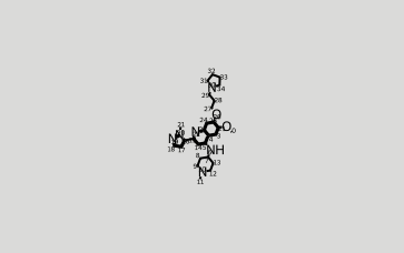 COc1cc2c(NC3CCN(C)CC3)cc(-c3ccnn3C)nc2cc1OCCCN1CCCC1